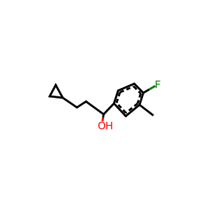 Cc1cc(C(O)CCC2CC2)ccc1F